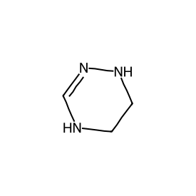 C1=NNCCN1